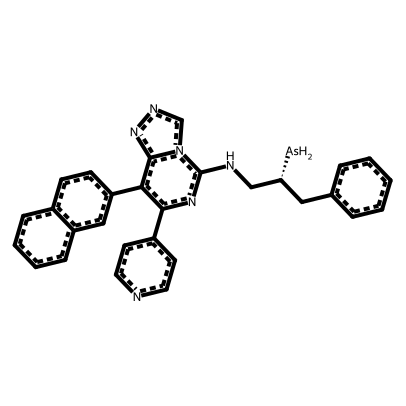 [AsH2][C@@H](CNc1nc(-c2ccncc2)c(-c2ccc3ccccc3c2)c2nncn12)Cc1ccccc1